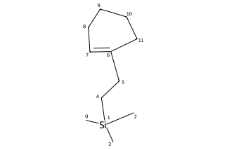 C[Si](C)(C)CCC1=CCCCC1